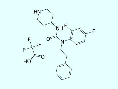 O=C(NC1CCNCC1)N(CCc1ccccc1)c1ccc(F)cc1F.O=C(O)C(F)(F)F